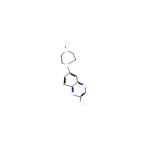 N#CB1CCN(c2ccc3nc(O)cnc3c2)CC1